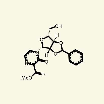 COC(=O)c1nccn([C@@H]2O[C@H](CO)[C@H]3OC(c4ccccc4)O[C@@H]32)c1=O